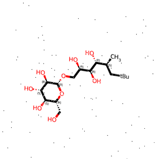 C[C@@H](CC(C)(C)C)[C@@H](O)[C@@H](O)[C@H](O)CO[C@@H]1O[C@H](CO)[C@@H](O)[C@H](O)[C@H]1O